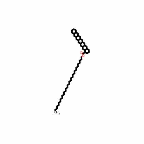 CCCCCCCCCCCCCCCCCCCCCCCCCCCCCCCCOC(=O)C1CCCC2CC3CC4CC5CC6CC7CCCCC7CC6CC5CC4CC3CC21